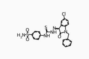 NS(=O)(=O)c1ccc(NC(=S)NN=C2C(=O)N(Cc3ccccc3)c3ccc(Cl)cc32)cc1